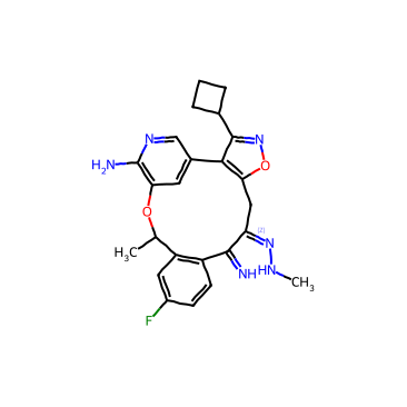 CN/N=C1/Cc2onc(C3CCC3)c2-c2cnc(N)c(c2)OC(C)c2cc(F)ccc2C1=N